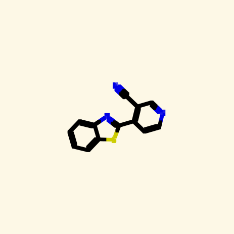 N#Cc1cnccc1-c1nc2ccccc2s1